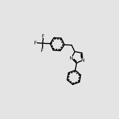 FC(F)(F)c1ccc(CC2C=NC(c3ccccc3)=N2)cc1